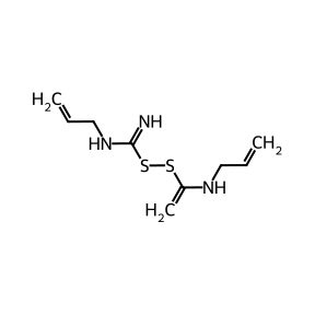 C=CCNC(=C)SSC(=N)NCC=C